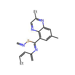 C=NS/C(=N\C(=C)/C=C\CC)c1cc(C)cc2nc(CC)cnc12